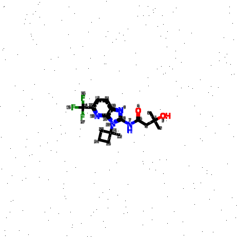 CC(C)(O)CC(=O)Nc1nc2ccc(C(F)(F)F)nc2n1C1(C)CCC1